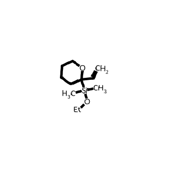 C=CC1([Si](C)(C)OCC)CCCCO1